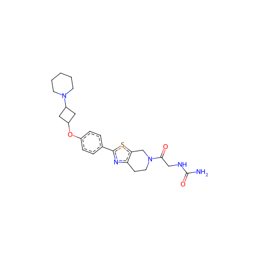 NC(=O)NCC(=O)N1CCc2nc(-c3ccc(OC4CC(N5CCCCC5)C4)cc3)sc2C1